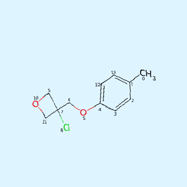 Cc1ccc(OCC2(Cl)COC2)cc1